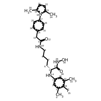 Cc1cc(N[C@H](CCCCNC(=O)Cc2ccc(-n3c(C)ccc3C)cc2)C(=O)NO)cc(C)c1F